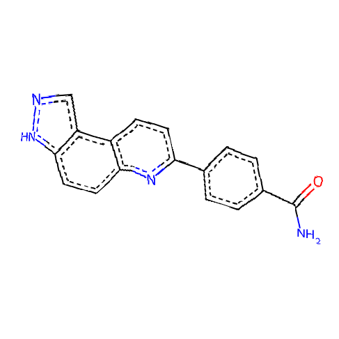 NC(=O)c1ccc(-c2ccc3c(ccc4[nH]ncc43)n2)cc1